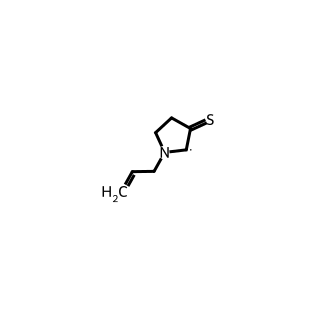 C=CCN1[CH]C(=S)CC1